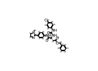 CN1CCN=C1c1ccc(NC(=O)[C@@H](CC(=O)OCc2ccccc2)NC(=O)Nc2ccc(Cl)cc2)cc1